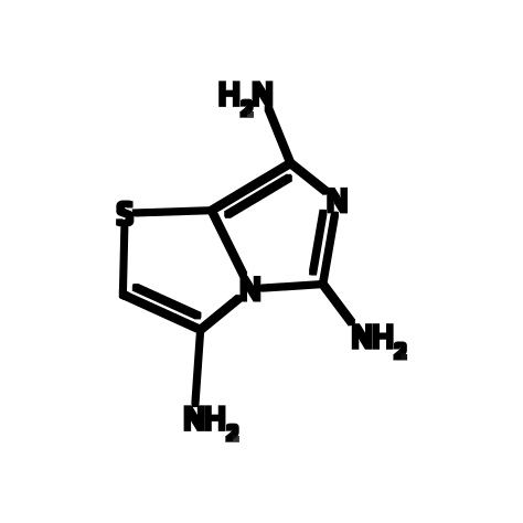 Nc1nc(N)n2c(N)csc12